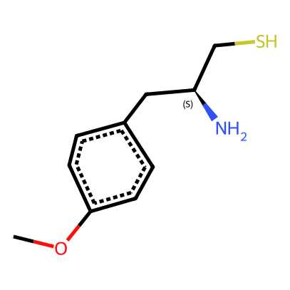 COc1ccc(C[C@H](N)CS)cc1